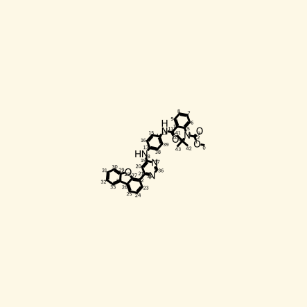 COC(=O)N(c1ccccc1C(=O)Nc1ccc(Nc2cc(-c3cccc4c3oc3ccccc34)ncn2)cc1)C(C)(C)C